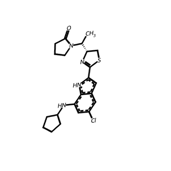 CC([C@@H]1CSC(c2cc3cc(Cl)cc(NC4CCCC4)c3[nH]2)=N1)N1CCCC1=O